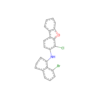 Clc1c(Nc2cccc3cccc(Br)c23)ccc2c1oc1ccccc12